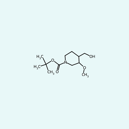 COC1CN(C(=O)OC(C)(C)C)CCC1CO